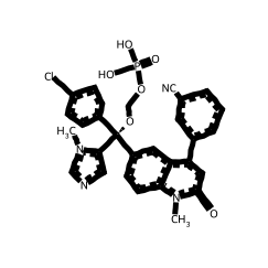 Cn1cncc1[C@@](OCOP(=O)(O)O)(c1ccc(Cl)cc1)c1ccc2c(c1)c(-c1cccc(C#N)c1)cc(=O)n2C